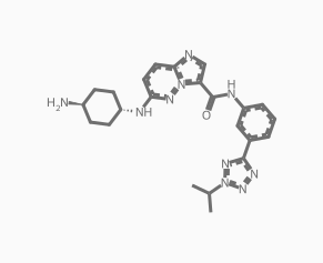 CC(C)n1nnc(-c2cccc(NC(=O)c3cnc4ccc(N[C@H]5CC[C@H](N)CC5)nn34)c2)n1